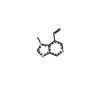 C=Cc1cncc2ncn(C)c12